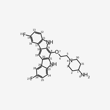 NC1CCN(CCOc2c3[nH]c4ccc(F)cc4c3cc3c2[nH]c2ccc(F)cc23)CC1